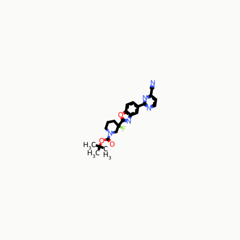 CC(C)(C)OC(=O)N1CCCC(F)(c2nc3cc(-c4nccc(C#N)n4)ccc3o2)C1